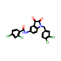 O=C(Nc1ccc2c(c1)C(=O)C(=O)N2Cc1ccc(Cl)c(Cl)c1)c1ccc(Cl)cc1Cl